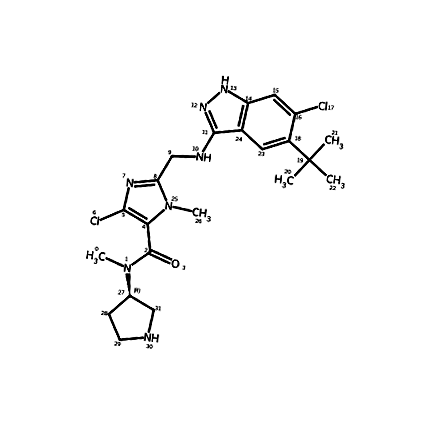 CN(C(=O)c1c(Cl)nc(CNc2n[nH]c3cc(Cl)c(C(C)(C)C)cc23)n1C)[C@@H]1CCNC1